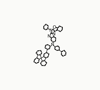 c1ccc(-c2ccc(N(c3cccc(-c4ccc5c(c4)C4(c6ccccc6-c6ccccc64)c4ccccc4-5)c3)c3ccc4c(c3)nc3n(-c5ccccc5)c5oc6ccccc6c5n43)cc2)cc1